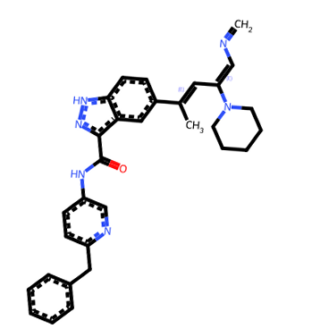 C=N/C=C(\C=C(/C)c1ccc2[nH]nc(C(=O)Nc3ccc(Cc4ccccc4)nc3)c2c1)N1CCCCC1